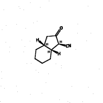 N#C[C@@H]1C(=O)C[C@H]2CCCC[C@H]21